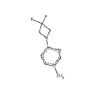 Cc1ccc(N2CC(F)(F)C2)nc1